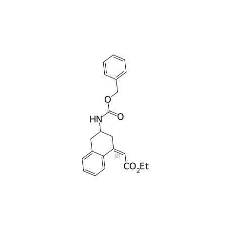 CCOC(=O)/C=C1/CC(NC(=O)OCc2ccccc2)Cc2ccccc21